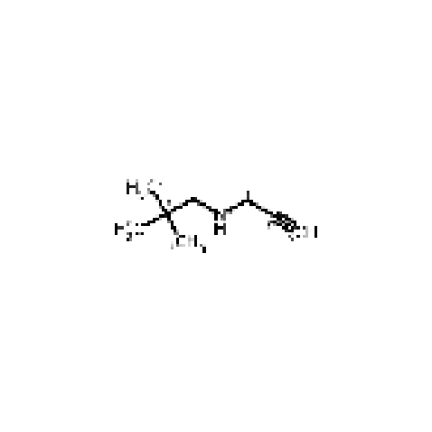 C#CCNCC(C)(C)C